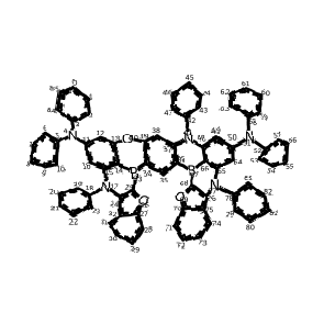 c1ccc(N(c2ccccc2)c2cc3c4c(c2)N(c2ccccc2)c2c(oc5ccccc25)B4c2cc4c(cc2O3)N(c2ccccc2)c2cc(N(c3ccccc3)c3ccccc3)cc3c2B4c2oc4ccccc4c2N3c2ccccc2)cc1